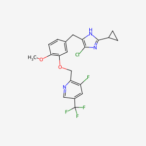 COc1ccc(Cc2[nH]c(C3CC3)nc2Cl)cc1OCc1ncc(C(F)(F)F)cc1F